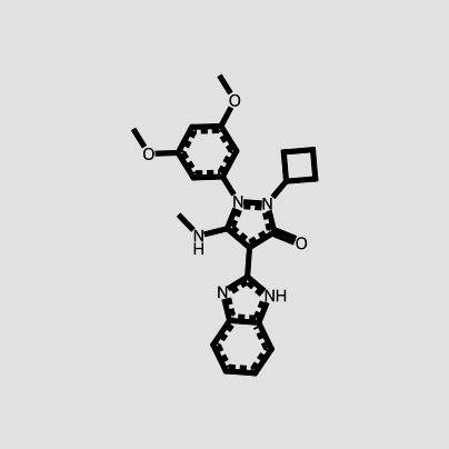 CNc1c(-c2nc3ccccc3[nH]2)c(=O)n(C2CCC2)n1-c1cc(OC)cc(OC)c1